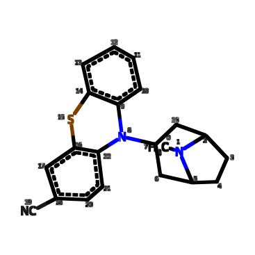 CN1C2CCC1CC(N1c3ccccc3Sc3cc(C#N)ccc31)C2